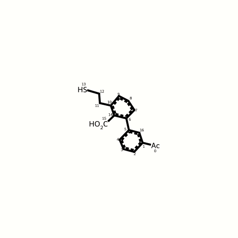 CC(=O)c1cccc(-c2cccc(CCS)c2C(=O)O)c1